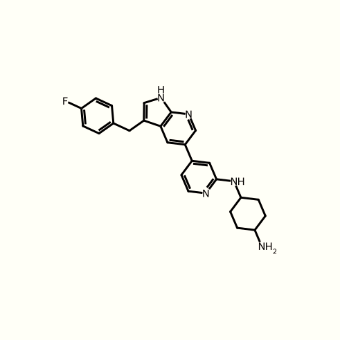 NC1CCC(Nc2cc(-c3cnc4[nH]cc(Cc5ccc(F)cc5)c4c3)ccn2)CC1